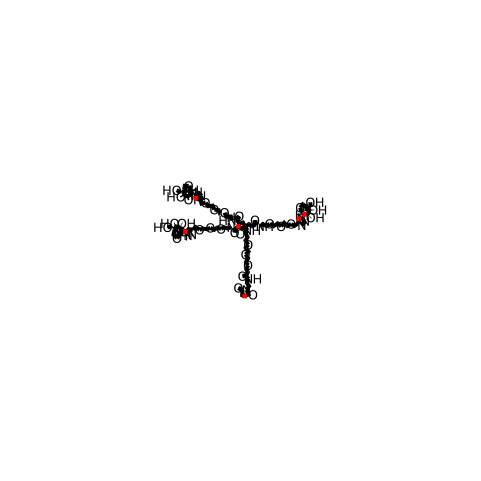 O=C(CCOCCOCCOCCC(=O)NC(CCC(=O)NCCOCCOCCOCc1cn([C@H]2[C@H]3OC[C@](CO)(O3)[C@H](O)[C@@H]2O)nn1)(CCC(=O)NCCOCCOCCOCc1cn([C@H]2[C@H]3OC[C@](CO)(O3)[C@H](O)[C@@H]2O)nn1)CCC(=O)NCCOCCOCCOCc1cn([C@H]2[C@H]3OC[C@](CO)(O3)[C@H](O)[C@@H]2O)nn1)NCCN1C(=O)C=CC1=O